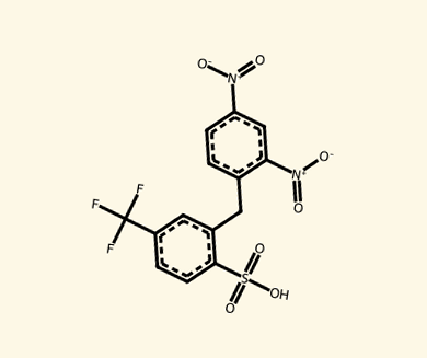 O=[N+]([O-])c1ccc(Cc2cc(C(F)(F)F)ccc2S(=O)(=O)O)c([N+](=O)[O-])c1